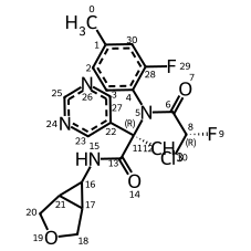 Cc1ccc(N(C(=O)[C@H](F)Cl)[C@@](C)(C(=O)NC2C3COCC32)c2cncnc2)c(F)c1